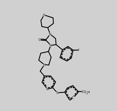 O=C(O)c1ccc(Sc2ccc(CN3CCC(N4C(=O)N(C5CCOCC5)CC4c4cccc(F)c4)CC3)cn2)cc1